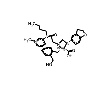 CCCCN(C(=O)CN1C[C@H](c2ccc3c(c2)CCO3)[C@@H](C(=O)O)[C@@H]1Cc1ccccc1CO)c1ccc[n+](C)c1